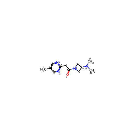 Cc1cnc(CC(=O)N2CC(N(C)C)C2)nc1